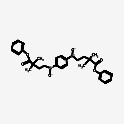 CC(C)(CC[S+]([O-])c1ccc([S+]([O-])CCC(C)(C)C(=O)Oc2ccccc2)cc1)C(=O)Oc1ccccc1